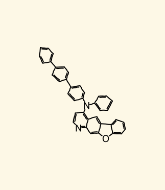 c1ccc(-c2ccc(-c3ccc(N(c4ccccc4)c4ccnc5cc6oc7ccccc7c6cc45)cc3)cc2)cc1